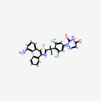 CC(C)(c1nc(-c2ccccc2)c(-c2cccc(N)c2)s1)c1c(Cl)cc(-n2ncc(=O)[nH]c2=O)cc1Cl